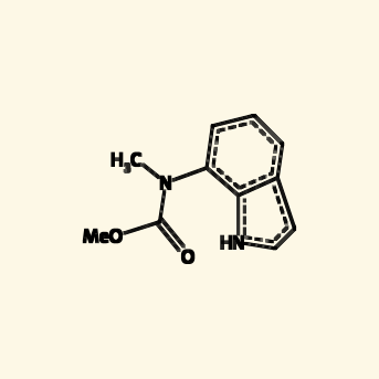 COC(=O)N(C)c1cccc2cc[nH]c12